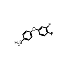 Bc1ccc(Oc2ccc(F)c(F)c2)cc1